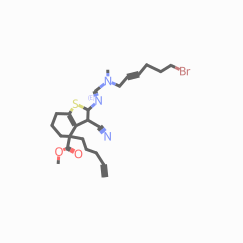 C#CCCCC1(C(=O)OC)CCCC2=C1C(C#N)C(/N=C/N(C)CC#CCCCBr)S2